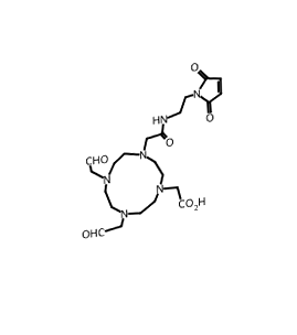 O=CCN1CCN(CC=O)CCN(CC(=O)NCCN2C(=O)C=CC2=O)CCN(CC(=O)O)CC1